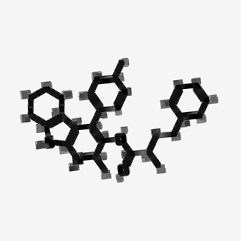 Cc1ccc(-c2c(OC(=O)C(C)CCc3ccccc3)c(C)nc3sc4c(c23)CCCC4)cc1